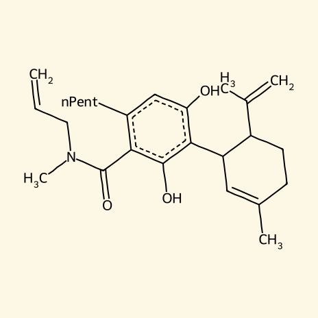 C=CCN(C)C(=O)c1c(CCCCC)cc(O)c(C2C=C(C)CCC2C(=C)C)c1O